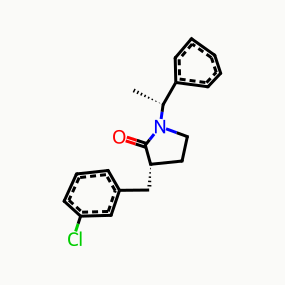 C[C@H](c1ccccc1)N1CC[C@H](Cc2cccc(Cl)c2)C1=O